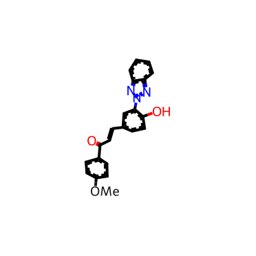 COc1ccc(C(=O)/C=C/c2ccc(O)c(-n3nc4ccccc4n3)c2)cc1